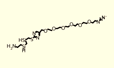 C[SiH](CCN)C[SiH](C)CSc1ncc(COCCOCCOCCOCCOCCOCCN=[N+]=[N-])cn1